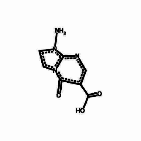 Nn1ccn2c(=O)c(C(=O)O)cnc12